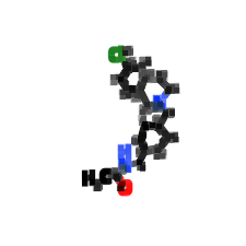 CC(=O)NCc1ccc(CN2CCc3cc(Cl)ccc3C2)cc1